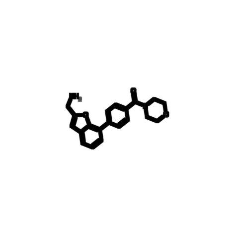 NCc1cc2cccc(-c3ccc(C(=O)N4CCOCC4)cc3)c2o1